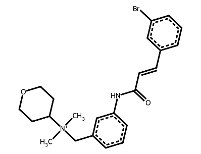 C[N+](C)(Cc1cccc(NC(=O)/C=C/c2cccc(Br)c2)c1)C1CCOCC1